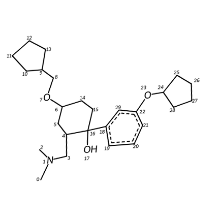 CN(C)CC1CC(OCC2CCCC2)CCC1(O)c1cccc(OC2CCCC2)c1